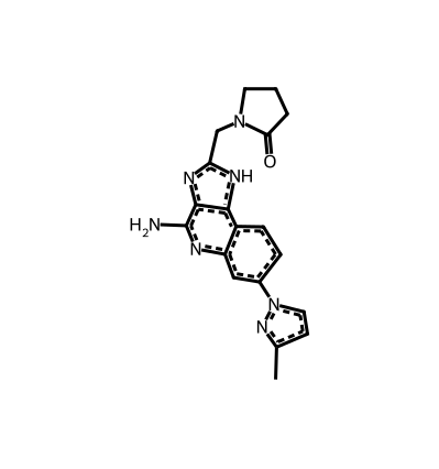 Cc1ccn(-c2ccc3c(c2)nc(N)c2nc(CN4CCCC4=O)[nH]c23)n1